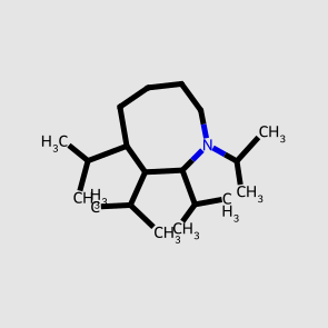 CC(C)C1CCCCN(C(C)C)C(C(C)C)C1C(C)C